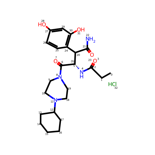 CCC(=O)N[C@H](C(=O)N1CCN(C2CCCCC2)CC1)C(C(N)=O)c1ccc(O)cc1O.Cl